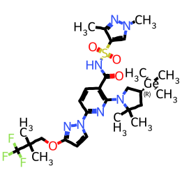 Cc1nn(C)cc1S(=O)(=O)NC(=O)c1ccc(-n2ccc(OCC(C)(C)C(F)(F)F)n2)nc1N1C[C@H]([Ge]([CH3])([CH3])[CH3])CC1(C)C